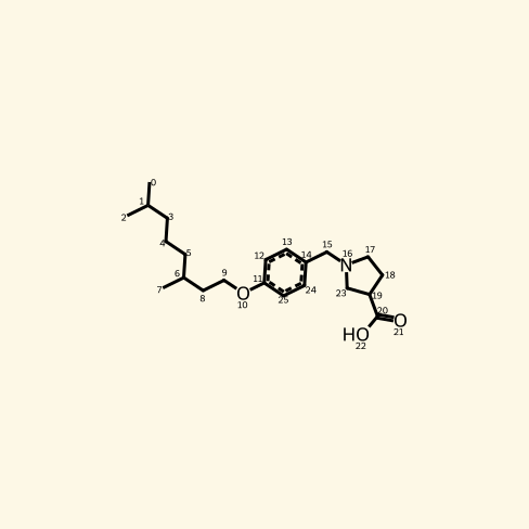 CC(C)CCCC(C)CCOc1ccc(CN2CCC(C(=O)O)C2)cc1